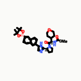 COC(=O)N[C@H](C(=O)N1CCC[C@H]1c1ncc(-c2ccc3cc(B4OC(C)(C)C(C)(C)O4)ccc3c2)[nH]1)C1CCOCC1